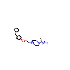 NC(=S)N1CCN(CCOc2ccc(Cc3ccccc3)cc2)CC1